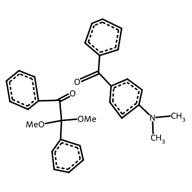 CN(C)c1ccc(C(=O)c2ccccc2)cc1.COC(OC)(C(=O)c1ccccc1)c1ccccc1